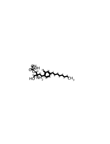 CCCCCCCCc1ccc(CCC(N)(CO)COP(=O)(O)O)c(I)c1